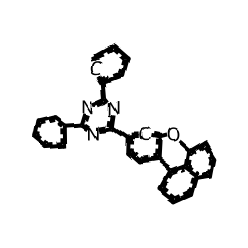 c1ccc(-c2nc(-c3ccccc3)nc(-c3ccc4c(c3)Oc3cccc5cccc-4c35)n2)cc1